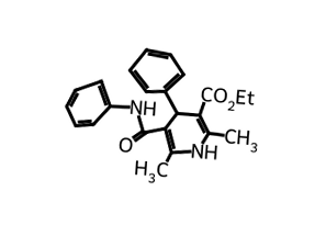 CCOC(=O)C1=C(C)NC(C)=C(C(=O)Nc2ccccc2)C1c1ccccc1